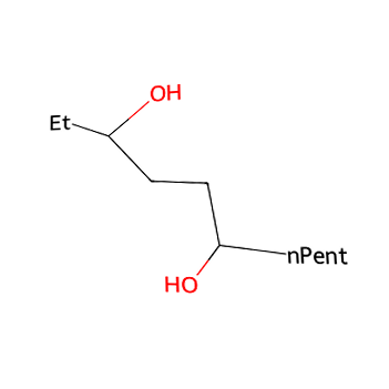 CCCCCC(O)CCC(O)CC